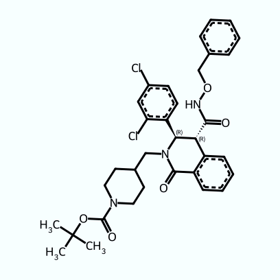 CC(C)(C)OC(=O)N1CCC(CN2C(=O)c3ccccc3[C@@H](C(=O)NOCc3ccccc3)[C@@H]2c2ccc(Cl)cc2Cl)CC1